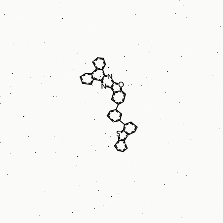 c1cc(-c2ccc3oc4nc5c6ccccc6c6ccccc6c5nc4c3c2)cc(-c2cccc3c2sc2ccccc23)c1